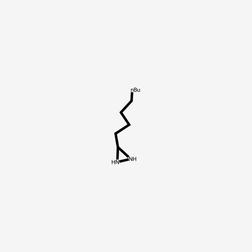 CCCCCCCCC1NN1